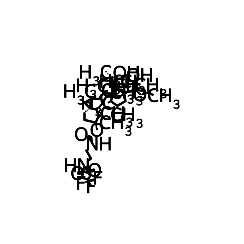 CCC[C@H]1C(C)(C)[C@@H](OC(=O)NCCNS(=O)(=O)C(F)(F)F)CC[C@@]12C[C@]2(C)CC[C@](C)([C@H](C)[C@H](C)CC(OC)[C@H](OCC)C(C)(C)O)C(C)(C)[C@H](C)O